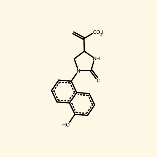 C=C(C(=O)O)C1CN(c2cccc3c(O)cccc23)C(=O)N1